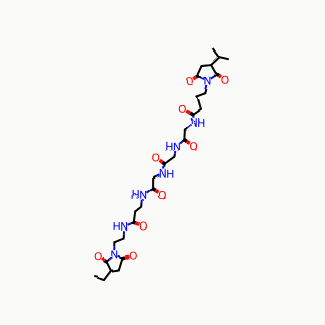 CCC1CC(=O)N(CCNC(=O)CCNC(=O)CNC(=O)CNC(=O)CNC(=O)CCCN2C(=O)CC(C(C)C)C2=O)C1=O